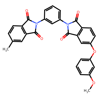 COc1cccc(Oc2ccc3c(c2)C(=O)N(c2cccc(N4C(=O)c5ccc(C)cc5C4=O)c2)C3=O)c1